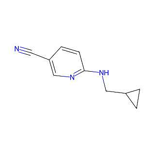 N#Cc1ccc(NCC2CC2)nc1